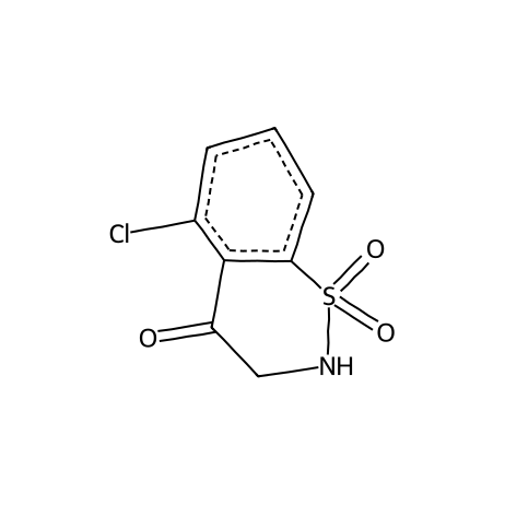 O=C1CNS(=O)(=O)c2cccc(Cl)c21